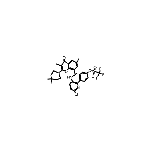 Cc1cc([C@@H](C)Nc2ccc(Cl)nc2-c2ccc(OS(=O)(=O)C(F)(F)F)cc2)c2oc(N3CCC(C)(C)CC3)c(C)c(=O)c2c1